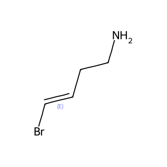 NCC/C=C/Br